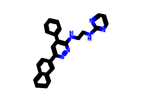 c1ccc(-c2cc(-c3ccc4ccccc4c3)nnc2NCCNc2ncccn2)cc1